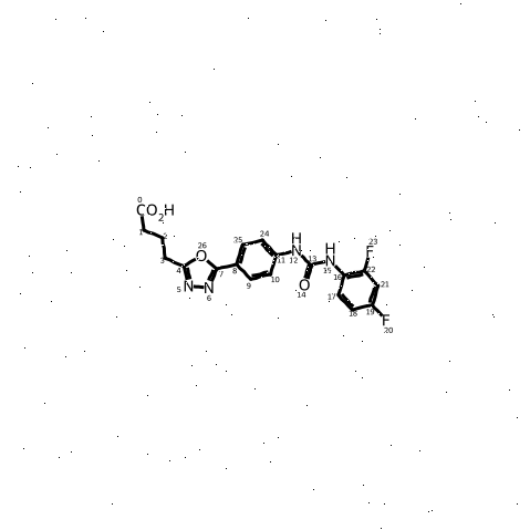 O=C(O)CCCc1nnc(-c2ccc(NC(=O)Nc3ccc(F)cc3F)cc2)o1